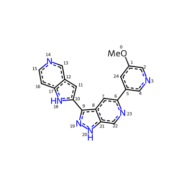 COc1cncc(-c2cc3c(-c4cc5cnccc5[nH]4)n[nH]c3cn2)c1